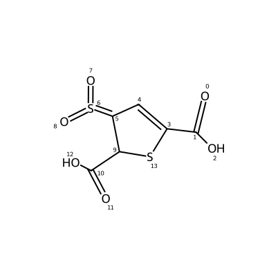 O=C(O)C1=CC(=S(=O)=O)C(C(=O)O)S1